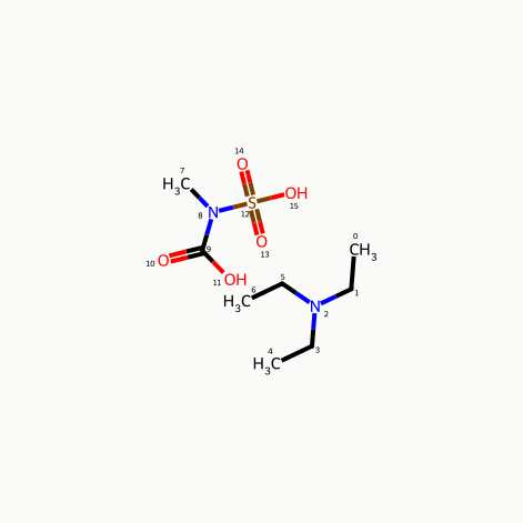 CCN(CC)CC.CN(C(=O)O)S(=O)(=O)O